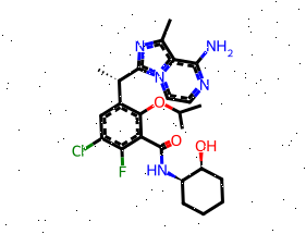 Cc1nc([C@@H](C)c2cc(Cl)c(F)c(C(=O)N[C@@H]3CCCC[C@@H]3O)c2OC(C)C)n2ccnc(N)c12